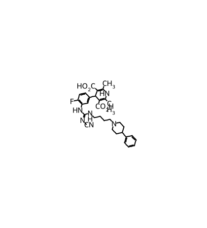 CC1=C(C(=O)O)C(c2ccc(F)c(NC(=NC#N)NCCCCN3CCC(c4ccccc4)CC3)c2)C(C(=O)O)=C(C)N1